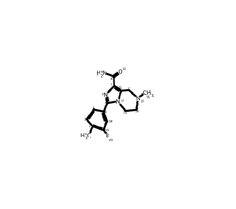 Cc1ccc(-c2nc(C(N)=O)c3n2CCN(C)C3)cc1F